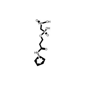 O=C(CCOP(=O)(O)C[PH](=O)O)Nn1cccc1